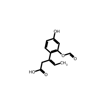 C/C=C(/CC(=O)O)c1ccc(O)cc1OC=O